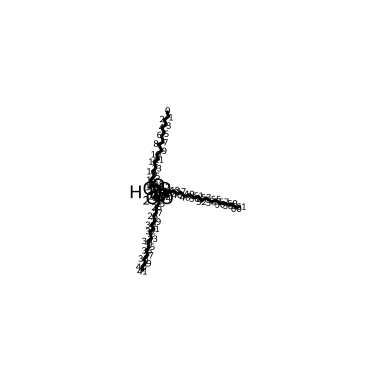 CCCCCCCCCCCCCCCCCC(=O)OC(P)(OC(=O)CCCCCCCCCCCCCCCCC)OC(=O)CCCCCCCCCCCCCCCCC